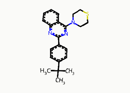 CC(C)(C)c1ccc(-c2nc(N3CCSCC3)c3ccccc3n2)cc1